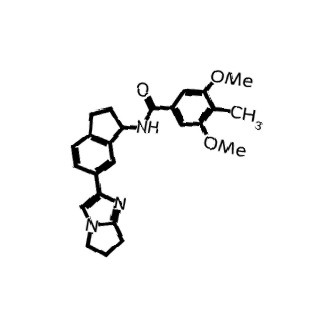 COc1cc(C(=O)NC2CCc3ccc(-c4cn5c(n4)CCC5)cc32)cc(OC)c1C